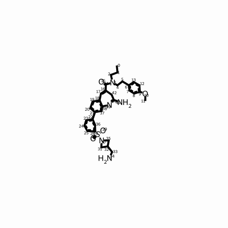 CCCN(CCc1ccc(OC)cc1)C(=O)C1=Cc2ccc(-c3cccc(S(=O)(=O)N4CC(CN)C4)c3)cc2N=C(N)C1